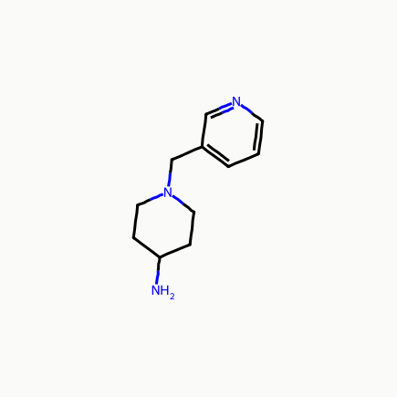 NC1CCN(Cc2cccnc2)CC1